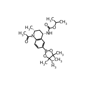 CC(=O)N1c2ccc(B3OC(C)(C)C(C)(C)O3)cc2[C@@H](NC(=O)OC(C)C)C[C@H]1C